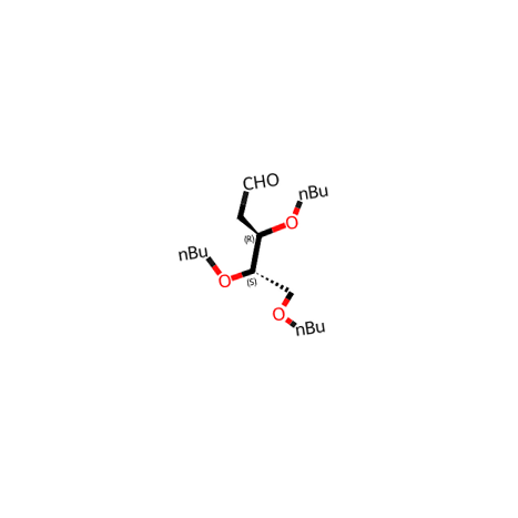 CCCCOC[C@H](OCCCC)[C@@H](CC=O)OCCCC